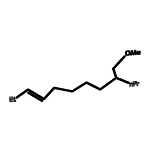 CCC=CCCCCC(CCC)COC